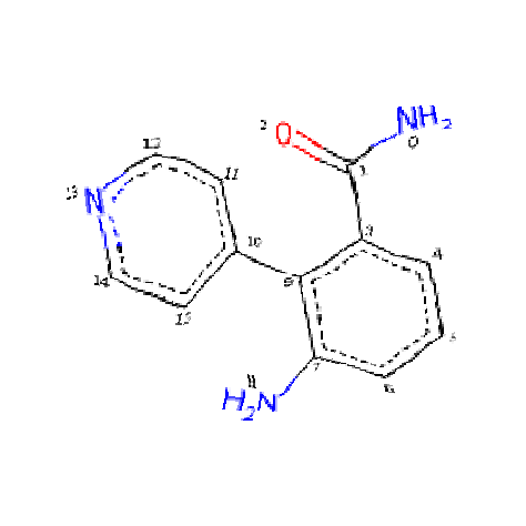 NC(=O)c1cccc(N)c1-c1ccncc1